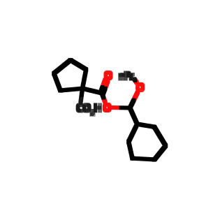 CCCOC(OC(=O)C1(C(=O)O)CCCC1)C1CCCCC1